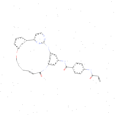 C=CC(=O)Nc1ccc(C(=O)Nc2cc3cc(c2)Nc2nccc(n2)-c2cccc(c2)OCCC/C=C/C(=O)N3)cc1